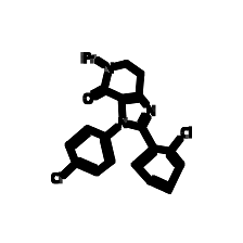 CC(C)N1CCc2nc(-c3ccccc3Cl)n(-c3ccc(Cl)cc3)c2C1=O